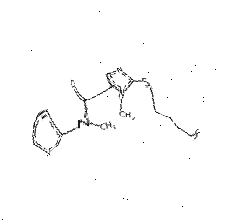 CN(C(=O)c1cnc(SCCCF)n1C)c1cccnc1